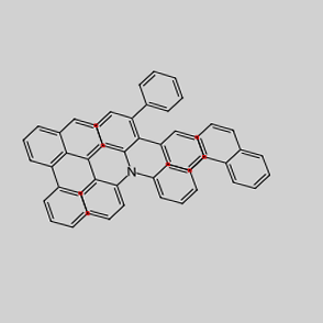 c1ccc(-c2cccc(N(c3cccc(-c4cccc5ccccc45)c3)c3ccccc3-c3cccc4cccc(-c5ccccc5)c34)c2-c2ccccc2)cc1